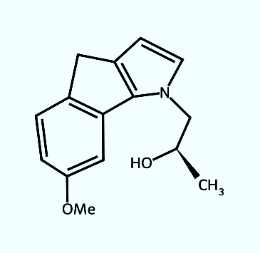 COc1ccc2c(c1)-c1c(ccn1C[C@@H](C)O)C2